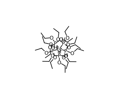 CCO[PH](OCC)(OCC)[Fe]([PH](OCC)(OCC)OCC)([PH](OCC)(OCC)OCC)([PH](OCC)(OCC)OCC)[PH](OCC)(OCC)OCC